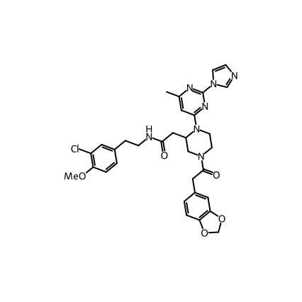 COc1ccc(CCNC(=O)CC2CN(C(=O)Cc3ccc4c(c3)OCO4)CCN2c2cc(C)nc(-n3ccnc3)n2)cc1Cl